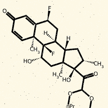 CCCOC(OCCC)C(=O)[C@@]1(O)[C@@H](C)C[C@H]2[C@@H]3C[C@H](F)C4=CC(=O)C=C[C@]4(C)[C@@]3(F)[C@@H](O)C[C@@]21C